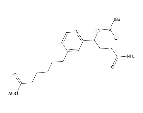 COC(=O)CCCCCc1ccnc(C(CCC(N)=O)N[S+]([O-])C(C)(C)C)c1